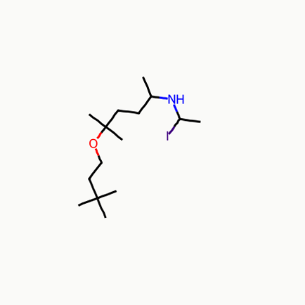 CC(I)NC(C)CCC(C)(C)OCCC(C)(C)C